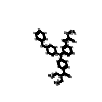 CCN(CC)C(=O)c1ccc([C@@H](c2cccc(NC(=O)OC)c2)N2CCN(Cc3ccncc3)CC2)cc1